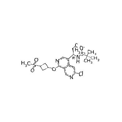 CC[C@@H](N[S+]([O-])C(C)(C)C)c1cnc(OC2CC(S(C)(=O)=O)C2)c2cnc(Cl)cc12